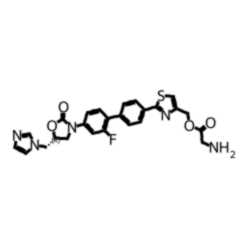 NCC(=O)OCc1csc(-c2ccc(-c3ccc(N4C[C@H](Cn5ccnc5)OC4=O)cc3F)cc2)n1